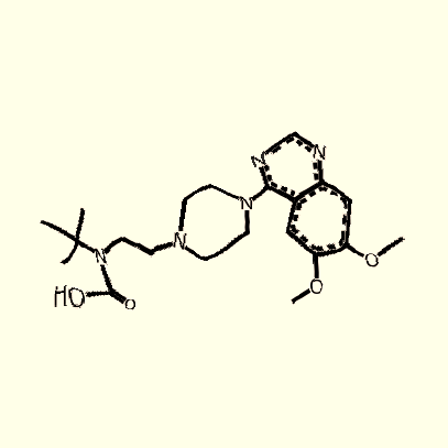 COc1cc2ncnc(N3CCN(CCN(C(=O)O)C(C)(C)C)CC3)c2cc1OC